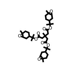 CC(CC(=O)OC(C)(C)C1CCC2(C)OC2C1)(CC(=O)OC(C)(C)C1CCC2(C)OC2C1)CC(=O)OC(C)(C)C1CCC2(C)OC2C1